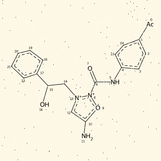 CC(=O)c1ccc(NC(=O)[n+]2oc(N)c[n+]2CC(O)c2ccccc2)cc1